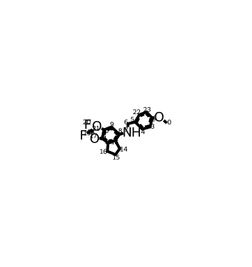 COc1ccc(CNc2cc3c(c4c2CCC4)OC(F)(F)O3)cc1